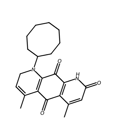 CC1=CCN(C2CCCCCCC2)C2=C1C(=O)c1c(C)cc(=O)[nH]c1C2=O